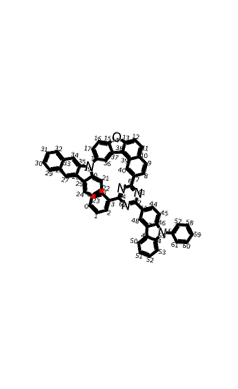 c1ccc(-c2nc(-c3ccc4ccc5oc6ccc(-n7c8ccccc8c8cc9ccccc9cc87)cc6c5c4c3)nc(-c3ccc4c(c3)c3ccccc3n4-c3ccccc3)n2)cc1